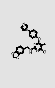 Cc1c(Cl)nc(NCc2ccc3c(c2)OCO3)nc1Oc1ccc(-n2ccnc2)cc1